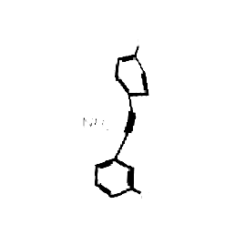 Clc1ccc(C#Cc2cccc(Cl)c2)cc1.N